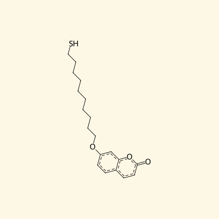 O=c1ccc2ccc(OCCCCCCCCCCS)cc2o1